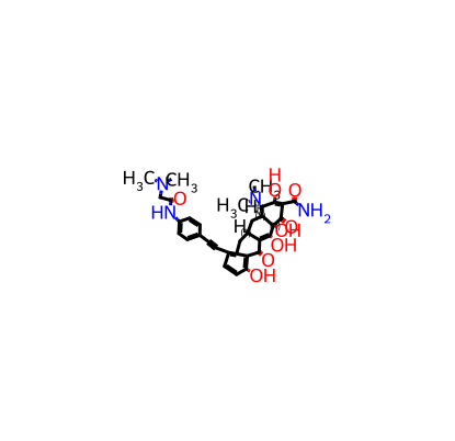 CN(C)CC(=O)Nc1ccc(C#Cc2ccc(O)c3c2C[C@@H]2C[C@H]4[C@@H](N(C)C)C(O)=C(C(N)=O)C(=O)[C@]4(O)C(O)=C2C3=O)cc1